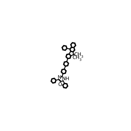 CC1(C)c2cc(-c3ccc(-c4ccc(C5=NC(c6ccccc6)=C6Oc7ccccc7C6N5)cc4)cc3)ccc2-c2c1cc1ccccc1c2-c1ccccc1